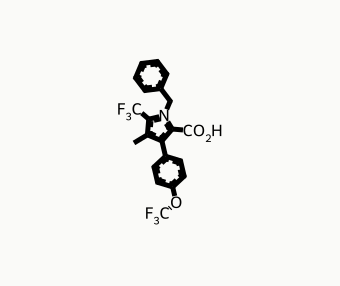 Cc1c(-c2ccc(OC(F)(F)F)cc2)c(C(=O)O)n(Cc2ccccc2)c1C(F)(F)F